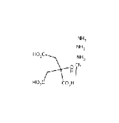 CC#N.N.N.N.O=C(O)CC(O)(CC(=O)O)C(=O)O